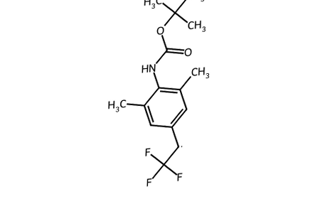 Cc1cc([CH]C(F)(F)F)cc(C)c1NC(=O)OC(C)(C)C